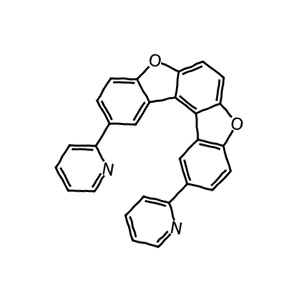 c1ccc(-c2ccc3oc4ccc5oc6ccc(-c7ccccn7)cc6c5c4c3c2)nc1